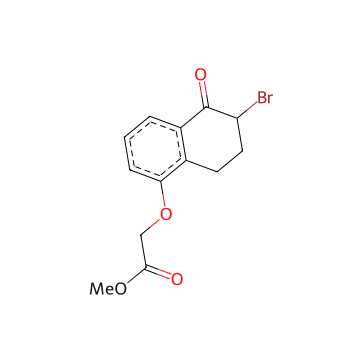 COC(=O)COc1cccc2c1CCC(Br)C2=O